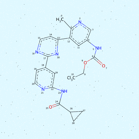 Cc1ncc(NC(=O)OCC(Cl)(Cl)Cl)cc1-c1ccnc(-c2ccnc(NC(=O)C3CC3)c2)n1